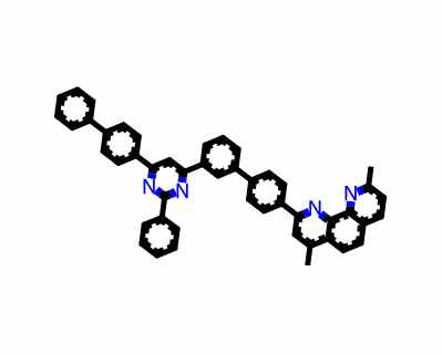 Cc1ccc2ccc3c(C)cc(-c4ccc(-c5cccc(-c6cc(-c7ccc(-c8ccccc8)cc7)nc(-c7ccccc7)n6)c5)cc4)nc3c2n1